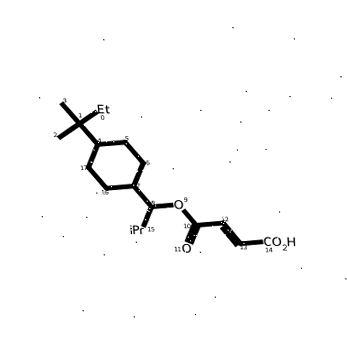 CCC(C)(C)C1CCC(C(OC(=O)/C=C/C(=O)O)C(C)C)CC1